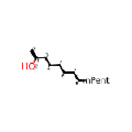 C=C(O)CCCCCCCCCCC